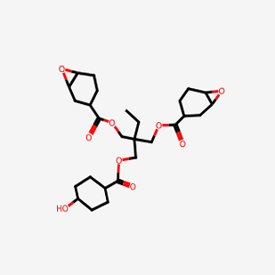 CCC(COC(=O)C1CCC(O)CC1)(COC(=O)C1CCC2OC2C1)COC(=O)C1CCC2OC2C1